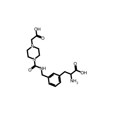 NC(Cc1cccc(CNC(=O)N2CCN(CC(=O)O)CC2)c1)C(=O)O